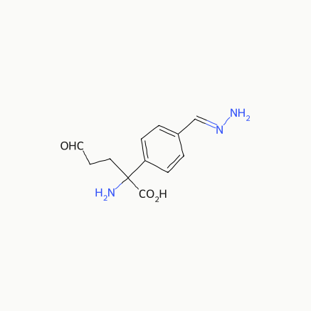 NN=Cc1ccc(C(N)(CCC=O)C(=O)O)cc1